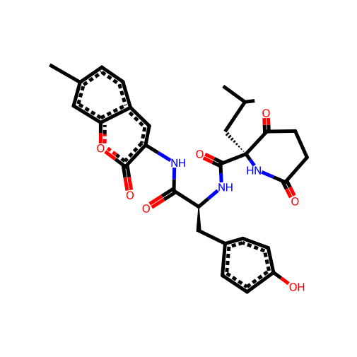 Cc1ccc2cc(NC(=O)[C@H](Cc3ccc(O)cc3)NC(=O)[C@]3(CC(C)C)NC(=O)CCC3=O)c(=O)oc2c1